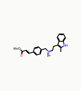 COC(=O)/C=C/c1ccc(CN(CCc2c(C)[nH]c3ccccc23)C(C)C)cc1